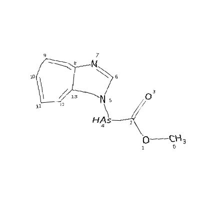 COC(=O)[AsH]n1cnc2ccccc21